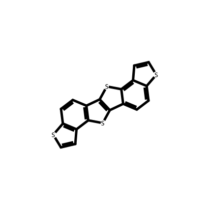 c1cc2c(ccc3c2sc2c4ccc5sccc5c4sc32)s1